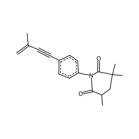 C=C(C)C#Cc1ccc(N2C(=O)C(C)CC(C)(C)C2=O)cc1